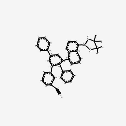 CC1(C)OB(c2cccc3c(-c4cc(-c5ccccc5)cc(-c5cccc(C#N)c5)c4-c4ccccc4)cccc23)OC1(C)C